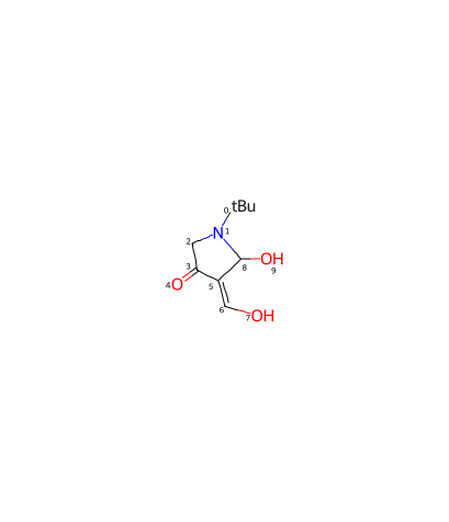 CC(C)(C)N1CC(=O)/C(=C/O)C1O